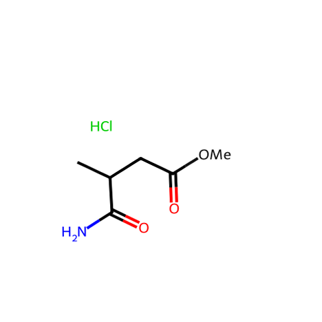 COC(=O)CC(C)C(N)=O.Cl